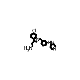 NCCc1cn(Cc2cccc(Nc3ccncc3)c2)c2cc(Cl)ccc12